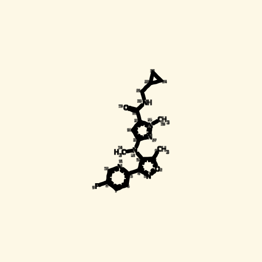 Cc1onc(-c2ccc(F)cn2)c1N(C)c1cc(C(=O)NCC2CC2)n(C)n1